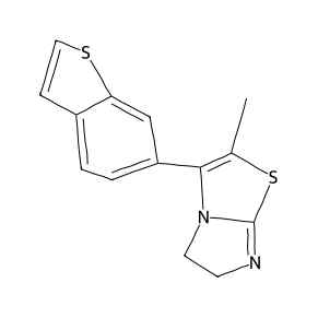 CC1=C(c2ccc3ccsc3c2)N2CCN=C2S1